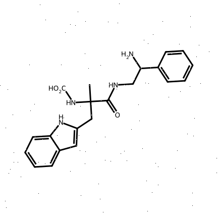 CC(Cc1cc2ccccc2[nH]1)(NC(=O)O)C(=O)NCC(N)c1ccccc1